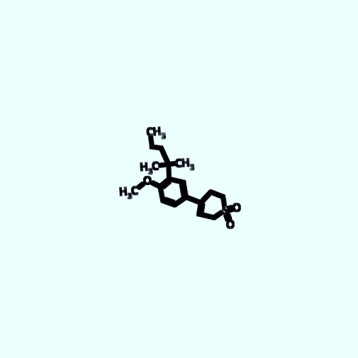 CCCC(C)(C)c1cc(C2=CCS(=O)(=O)CC2)ccc1OC